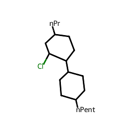 CCCCCC1CCC(C2CCC(CCC)CC2Cl)CC1